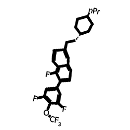 CCC[C@H]1CC[C@H](CCc2ccc3c(F)c(-c4cc(F)c(OC(F)(F)F)c(F)c4)ccc3c2)CC1